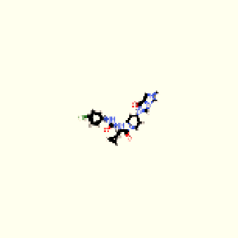 CN1C=C2C(=O)N(C3CCN(C(=O)C(NC(=O)Nc4ccc(Cl)cc4)C4CC4)CC3)CN2C1